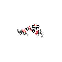 CC1(C)c2ccccc2Oc2ccc(C(Oc3ccc(B4OC(C)(C)C(C)(C)O4)cc3)Oc3ccc(B4OC(C)(C)C(C)(C)O4)cc3)cc21